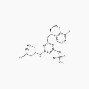 CC[C@H](Cc1nc(N[C@@H](CO)CC(C)C)nc(NS(C)(=O)=O)n1)c1cccc(F)c1F